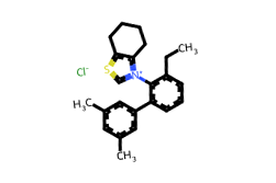 CCc1cccc(-c2cc(C)cc(C)c2)c1-[n+]1csc2c1CCCC2.[Cl-]